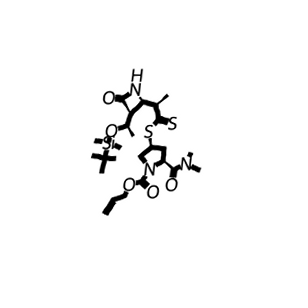 C=CCOC(=O)N1C[C@@H](SC(=S)[C@H](C)[C@H]2NC(=O)[C@@H]2[C@@H](C)O[Si](C)(C)C(C)(C)C)C[C@H]1C(=O)N(C)C